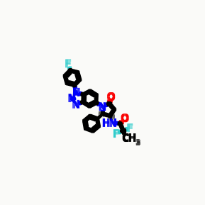 CC(F)(F)C(=O)N[C@H]1CC(=O)N(c2ccc3c(c2)nnn3-c2ccc(F)cc2)[C@@H]1c1ccccc1